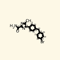 Cc1nc(C(N)=O)nn1-c1ccc(Cc2ccc(Br)cc2)cc1